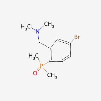 CN(C)Cc1cc(Br)ccc1P(C)(C)=O